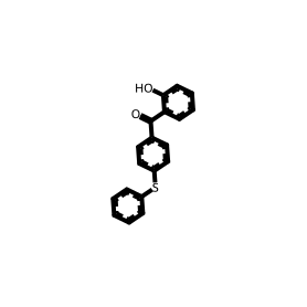 O=C(c1ccc(Sc2ccccc2)cc1)c1ccccc1O